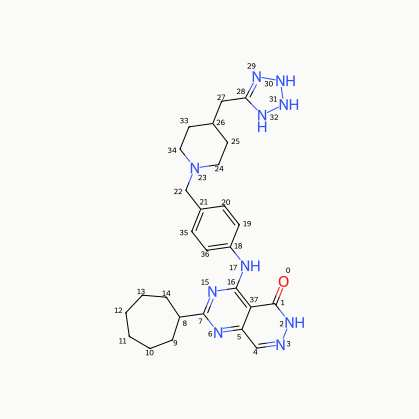 O=c1[nH]ncc2nc(C3CCCCCC3)nc(Nc3ccc(CN4CCC(CC5=NNNN5)CC4)cc3)c12